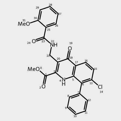 COC(=O)c1[nH]c2c(-c3ccccc3)c(Cl)ccc2c(=O)c1CNC(=O)c1ccccc1OC